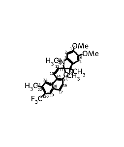 COc1cc2c(cc1OC)C(C)(C)C1(C=Cc3c(ccc4cc(C(F)(F)F)c(C)cc34)O1)N2C